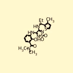 CC[C@@H](NC1=NS(=O)(=O)N=C1Nc1cccc(C(=O)N(C)C)c1O)c1sccc1C